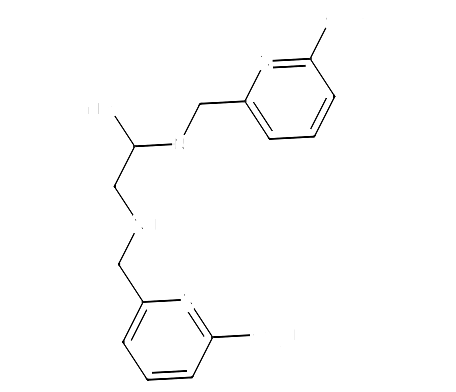 CCCC(CNCc1cccc(C(=O)O)n1)NCc1cccc(C(=O)O)n1